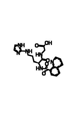 O=C(O)CNC(=O)[C@H](CCCNc1ncc[nH]1)NS(=O)(=O)c1cccc2cccnc12